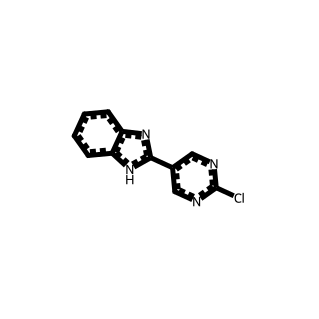 Clc1ncc(-c2nc3ccccc3[nH]2)cn1